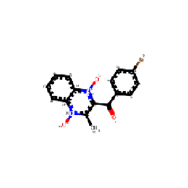 Cc1c(C(=O)c2ccc(Br)cc2)[n+]([O-])c2ccccc2[n+]1[O-]